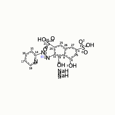 O=S(=O)(O)c1cc(O)c2c(O)c(/N=N/c3ccccn3)c(S(=O)(=O)O)cc2c1.[NaH].[NaH]